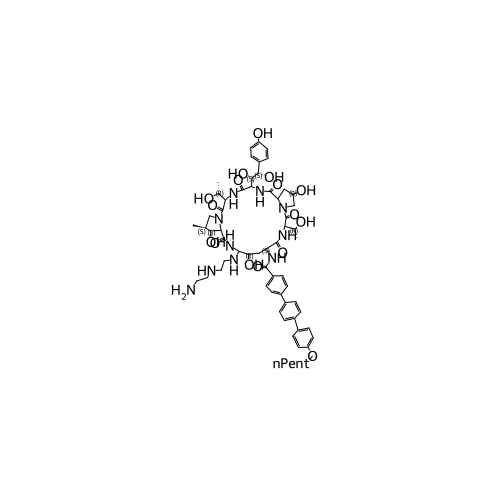 CCCCCOc1ccc(-c2ccc(-c3ccc(C(=O)N[C@H]4C[C@@H](O)C(NCCNCCN)NC(=O)C5[C@@H](O)[C@@H](C)CN5C(=O)C([C@@H](C)O)NC(=O)C([C@H](O)[C@@H](O)c5ccc(O)cc5)NC(=O)C5C[C@@H](O)CN5C(=O)C([C@@H](C)O)NC4=O)cc3)cc2)cc1